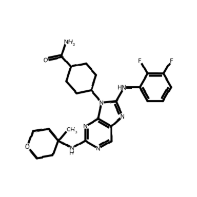 CC1(Nc2ncc3nc(Nc4cccc(F)c4F)n(C4CCC(C(N)=O)CC4)c3n2)CCOCC1